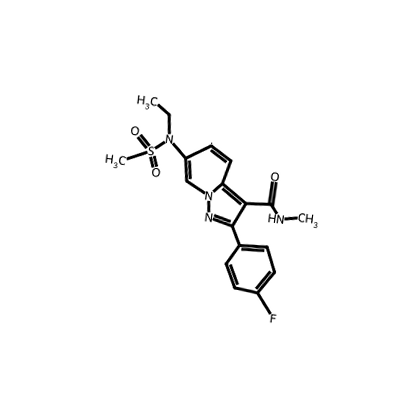 CCN(c1[c]cc2c(C(=O)NC)c(-c3ccc(F)cc3)nn2c1)S(C)(=O)=O